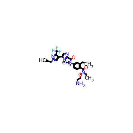 C#CCn1cc(-c2cnc(C(=O)Nc3ccc(C(=O)N(CC)OCCN)c(CC)c3)n2C)c(C(F)(F)F)n1